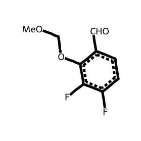 COCOc1c(C=O)ccc(F)c1F